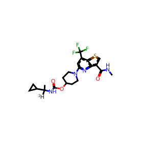 [2H]C(C)(NC(=O)OC1CCN(c2cc(C(F)(F)F)c3scc(C(=O)NC)c3n2)CC1)C1CC1